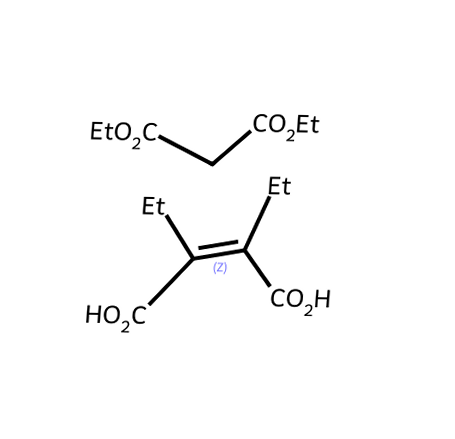 CC/C(C(=O)O)=C(\CC)C(=O)O.CCOC(=O)CC(=O)OCC